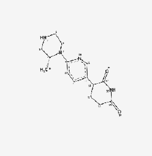 C[C@@H]1CNCCN1c1ccc(C2CCC(=O)NC2=O)cn1